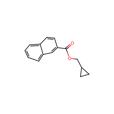 O=C(OCC1CC1)c1ccc2ccccc2c1